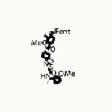 CCCC(C)Oc1ccc(C(=O)Nc2ccc3nc(SCC(=O)N[C@@H](C)c4cccc(OC)c4)sc3c2)c(OC)c1C